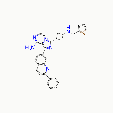 Nc1nccn2c1c(-c1ccc3ccc(-c4ccccc4)nc3c1)nc2[C@H]1C[C@@H](NCc2cccs2)C1